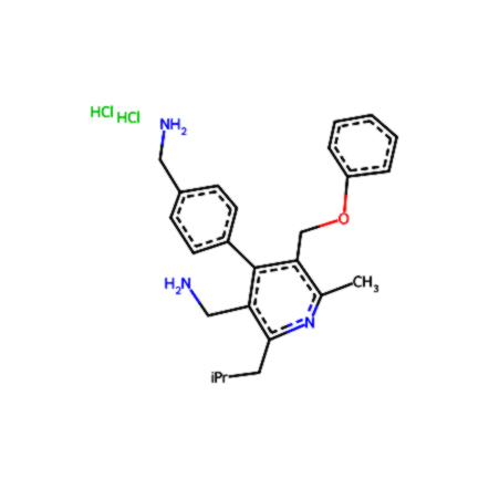 Cc1nc(CC(C)C)c(CN)c(-c2ccc(CN)cc2)c1COc1ccccc1.Cl.Cl